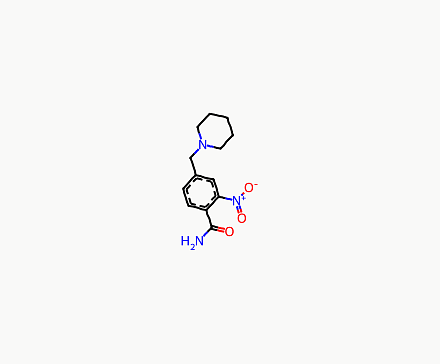 NC(=O)c1ccc(CN2CCCCC2)cc1[N+](=O)[O-]